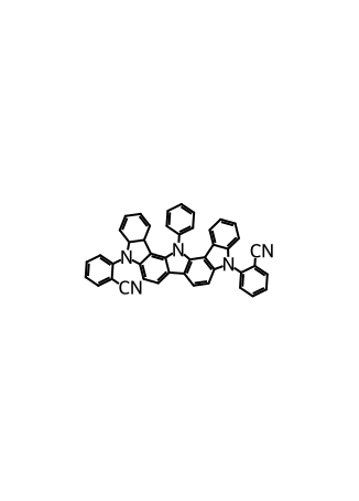 N#Cc1ccccc1N1c2ccc3c4ccc5c(c6ccccc6n5-c5ccccc5C#N)c4n(-c4ccccc4)c3c2C2C=CC=CC21